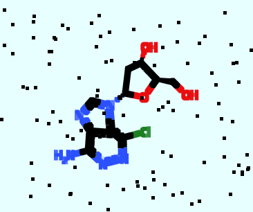 Nc1nnc(Cl)c2c1ncn2[C@@H]1C[C@H](O)[C@@H](CO)O1